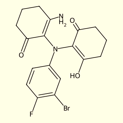 NC1=C(N(C2=C(O)CCCC2=O)c2ccc(F)c(Br)c2)C(=O)CCC1